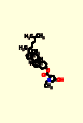 CCN1C[C@H](O)C[C@@H]1C(=O)O[C@H]1CC[C@@]2(C)C(=CC[C@H]3[C@@H]4CC[C@H]([C@H](C)CCCC(C)C)[C@@]4(C)CC[C@@H]32)C1